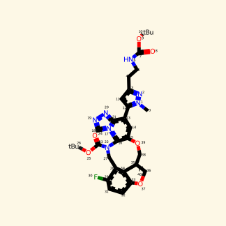 Cn1nc(CCNC(=O)OC(C)(C)C)cc1-c1cc2c(n3cnnc13)N(C(=O)OC(C)(C)C)Cc1c(F)ccc3c1[C@H](CO3)CO2